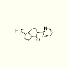 Cn1ccc2c1CCC(c1[c]cccn1)C2=O